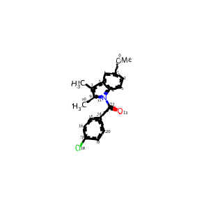 COc1ccc2c(c1)c(C)c(C)n2C(=O)c1ccc(Cl)cc1